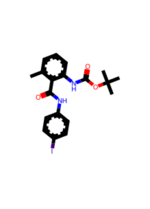 Cc1cccc(NC(=O)OC(C)(C)C)c1C(=O)Nc1ccc(I)cc1